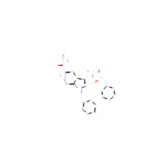 O=C(NO)c1cc2c(NS(=O)(=O)Cc3ccccc3)cn(Cc3ccc(F)cc3)c2cn1